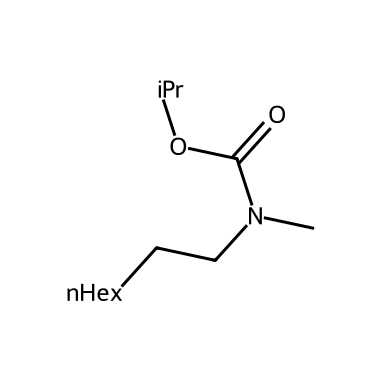 CCCCCCCCN(C)C(=O)OC(C)C